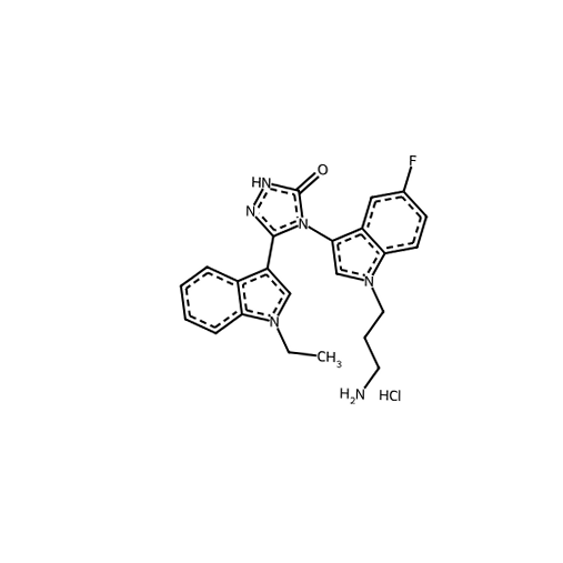 CCn1cc(-c2n[nH]c(=O)n2-c2cn(CCCN)c3ccc(F)cc23)c2ccccc21.Cl